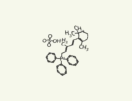 CC1=C(/C=C/C(C)=C/C[P+](c2ccccc2)(c2ccccc2)c2ccccc2)C(C)(C)CCC1.O=S(=O)([O-])O